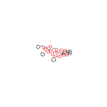 CC1O[C@@H](O[Si](C(C)C)(C(C)C)C(C)C)[C@@H](O)C(O)[C@H]1O[C@@H]1OC[C@@H](C)C(OC23COC[C@@]2(COCc2ccccc2)O[C@@H](c2ccccc2)O3)[C@H]1OCc1ccccc1